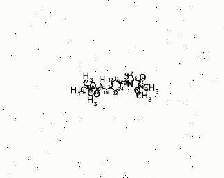 CON(C)C(=O)[C@@H]1CSC(C2=CC=C(CNC(=O)OC(C)(C)C)CC2)=N1